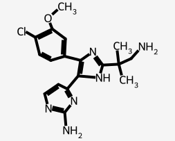 COc1cc(-c2nc(C(C)(C)CN)[nH]c2-c2ccnc(N)n2)ccc1Cl